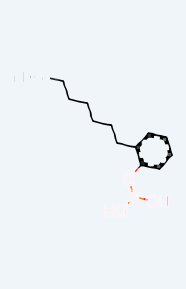 CCCCCCCCCCCCCCCCc1ccccc1OP(O)O